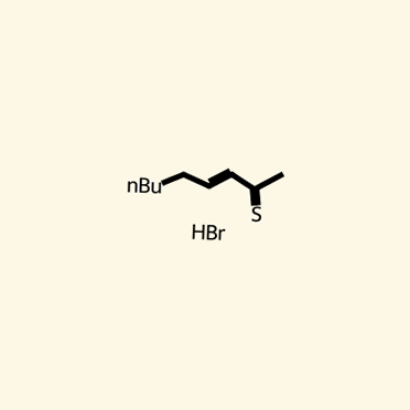 Br.CCCCCC=CC(C)=S